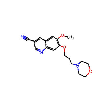 COc1cc2cc(C#N)cnc2cc1OCCCN1CCOCC1